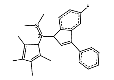 CC1=C(C)[CH]([Zr]([CH]2C=C(c3ccccc3)c3cc(F)ccc32)=[Si](C)C)C(C)=C1C